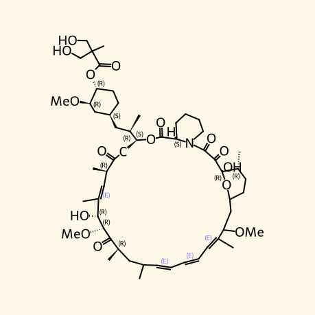 COC1CC2CC[C@@H](C)[C@@](O)(O2)C(=O)C(=O)N2CCCC[C@H]2C(=O)O[C@H]([C@H](C)C[C@@H]2CC[C@@H](OC(=O)C(C)(CO)CO)[C@H](OC)C2)CC(=O)[C@H](C)/C=C(\C)[C@@H](O)[C@@H](OC)C(=O)[C@H](C)CC(C)/C=C/C=C/C=C/1C